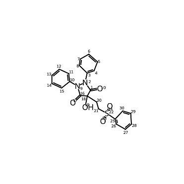 O=C1N(c2ccccc2)N(c2ccccc2)C(=O)C1(O)CCS(=O)(=O)c1ccccc1